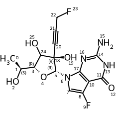 C[C@H](O)[C@H]1O[C@@H](n2cc(F)c3c(=O)[nH]c(N)nc32)[C@@](O)(C#CCF)C1O